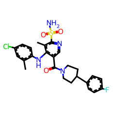 Cc1cc(Cl)ccc1Nc1c(C(=O)N2CCC(c3ccc(F)cc3)CC2)cnc(S(N)(=O)=O)c1C